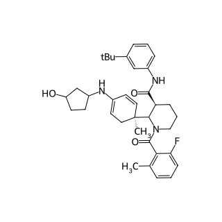 Cc1cccc(F)c1C(=O)N1CCC[C@H](C(=O)Nc2cccc(C(C)(C)C)c2)C1[C@]1(C)C=CC(NC2CCC(O)C2)=CC1